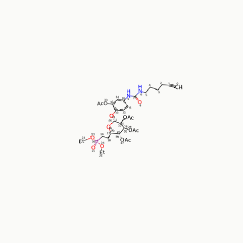 C#CCCCCNC(=O)Nc1ccc(O[C@H]2O[C@H](CCP(=O)(OCC)OCC)[C@@H](OC(C)=O)[C@H](OC(C)=O)[C@@H]2OC(C)=O)c(OC(C)=O)c1